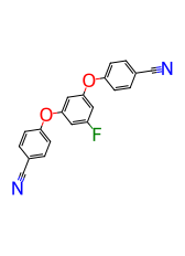 N#Cc1ccc(Oc2cc(F)cc(Oc3ccc(C#N)cc3)c2)cc1